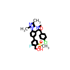 Cc1cn(-c2ccc(-c3cc(F)c(CO)c(S(C)(=O)=O)c3)cc2-c2ncoc2-c2ccc(Cl)cc2)c(C)n1